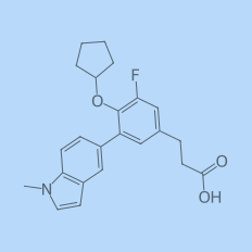 Cn1ccc2cc(-c3cc(CCC(=O)O)cc(F)c3OC3CCCC3)ccc21